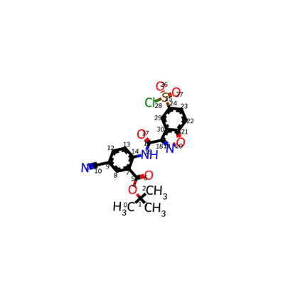 CC(C)(C)OC(=O)c1cc(C#N)ccc1NC(=O)c1noc2ccc(S(=O)(=O)Cl)cc12